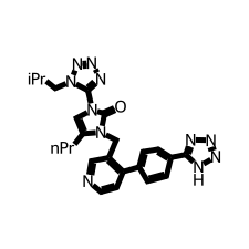 CCCc1cn(-c2nnnn2CC(C)C)c(=O)n1Cc1cnccc1-c1ccc(-c2nnn[nH]2)cc1